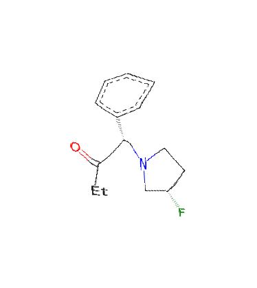 CCC(=O)[C@H](c1ccccc1)N1CC[C@H](F)C1